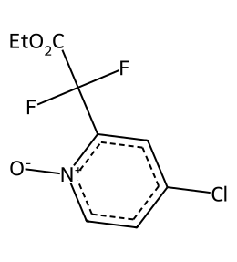 CCOC(=O)C(F)(F)c1cc(Cl)cc[n+]1[O-]